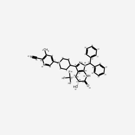 Cc1cc(N2CCC(c3nn(C(c4ccccc4)c4ccccc4)c4c3[C@@H](C(F)(F)F)[C@@H](O)C(=O)N4)CC2)cnc1C#N